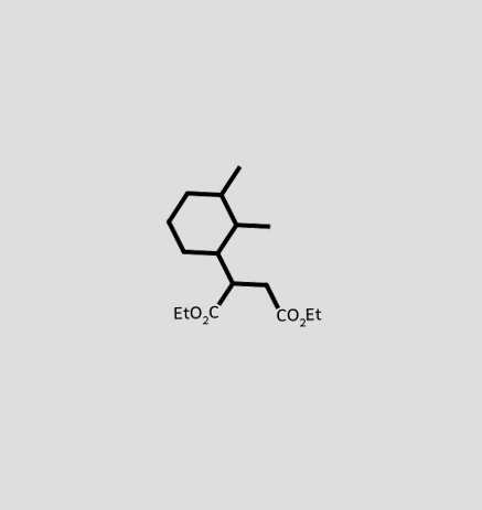 CCOC(=O)CC(C(=O)OCC)C1CCCC(C)C1C